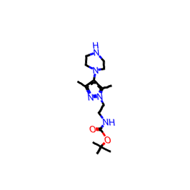 Cc1nn(CCNC(=O)OC(C)(C)C)c(C)c1N1CCNCC1